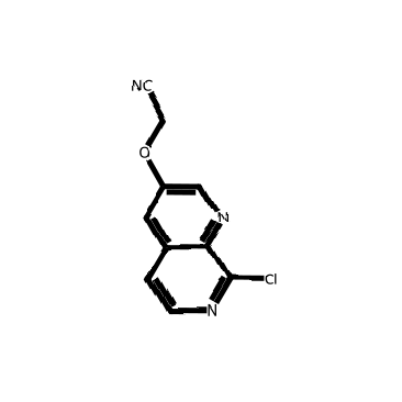 N#CCOc1cnc2c(Cl)nccc2c1